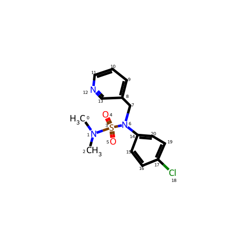 CN(C)S(=O)(=O)N(Cc1cccnc1)c1ccc(Cl)cc1